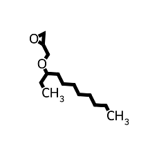 CCCCCCCCC(CC)OCC1CO1